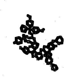 COc1ccc(C(OC[C@H](COS(=O)(=O)c2ccc(C)cc2)Oc2ccc(-c3c(-c4ccc(F)cc4)sc4ncnc(OC(Cc5cc(OC6CCCCO6)c(C)cc5OCc5ccnc([C@@H]6CCCO6)n5)C(=O)O)c34)c(C)c2Cl)(c2ccccc2)c2ccc(OC)cc2)cc1